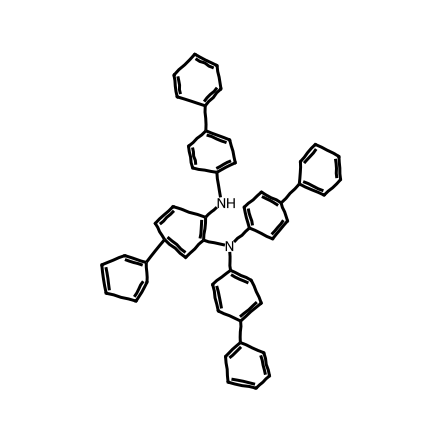 c1ccc(-c2ccc(Nc3ccc(-c4ccccc4)cc3N(c3ccc(-c4ccccc4)cc3)c3ccc(-c4ccccc4)cc3)cc2)cc1